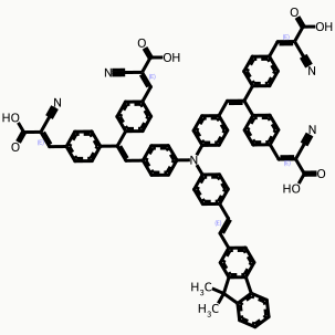 CC1(C)c2ccccc2-c2ccc(/C=C/c3ccc(N(c4ccc(C=C(c5ccc(/C=C(\C#N)C(=O)O)cc5)c5ccc(/C=C(\C#N)C(=O)O)cc5)cc4)c4ccc(C=C(c5ccc(/C=C(\C#N)C(=O)O)cc5)c5ccc(/C=C(\C#N)C(=O)O)cc5)cc4)cc3)cc21